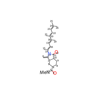 C=C1C2CC(C(=O)NC)CCC2C(=O)N1/C(C)=C/C=C(C)/C(C)=C/C=C(C)C